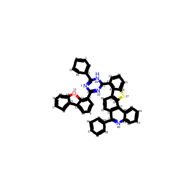 c1ccc(C2=NC(c3cccc4c3oc3ccccc34)=NC(c3cccc4sc5c(ccc6c(-c7ccccc7)nc7ccccc7c65)c34)N2)cc1